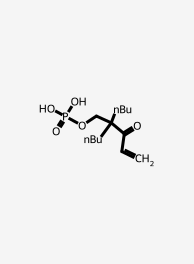 C=CC(=O)C(CCCC)(CCCC)COP(=O)(O)O